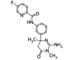 CN1C(=O)CC(C)(c2cccc(NC(=O)c3ccc(F)cn3)c2)N=C1N